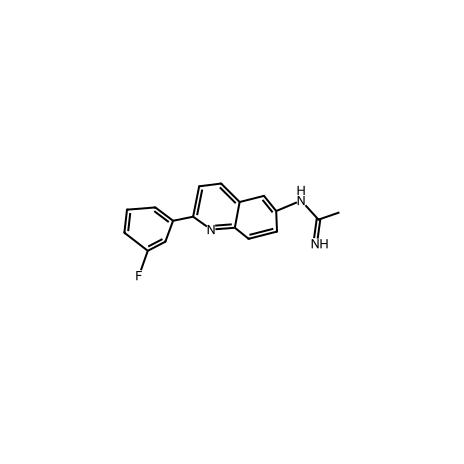 CC(=N)Nc1ccc2nc(-c3cccc(F)c3)ccc2c1